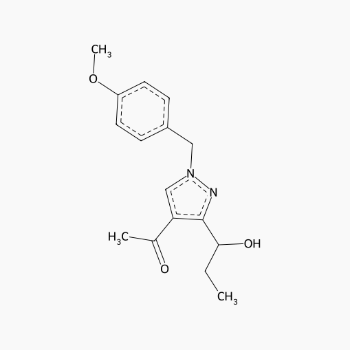 CCC(O)c1nn(Cc2ccc(OC)cc2)cc1C(C)=O